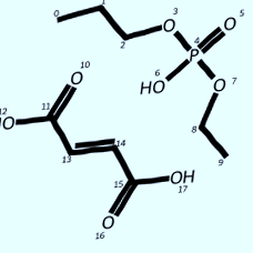 CCCOP(=O)(O)OCC.O=C(O)C=CC(=O)O